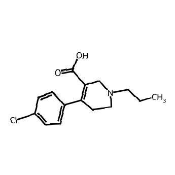 CCCN1CCC(c2ccc(Cl)cc2)=C(C(=O)O)C1